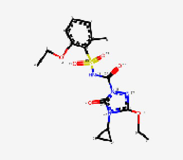 CCOc1cccc(C)c1S(=O)(=O)NC(=O)n1nc(OCC)n(C2CC2)c1=O